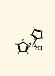 [Cl][Zr]([C]1=CC=CC1)[C]1=CC=CC1